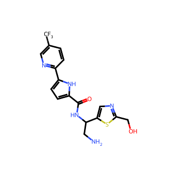 NCC(NC(=O)c1ccc(-c2ccc(C(F)(F)F)cn2)[nH]1)c1cnc(CO)s1